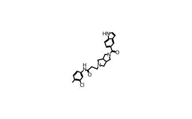 Cc1ccc(NC(=O)CCN2CC3CN(C(=O)c4ccc5[nH]ccc5c4)CC3C2)cc1Cl